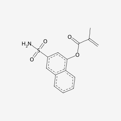 C=C(C)C(=O)Oc1cc(S(N)(=O)=O)cc2ccccc12